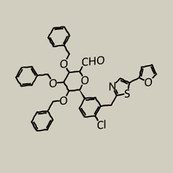 O=CC1O[C@@H](c2ccc(Cl)c(Cc3ncc(-c4ccco4)s3)c2)C(OCc2ccccc2)C(OCc2ccccc2)C1OCc1ccccc1